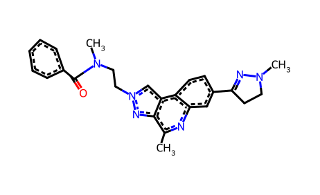 Cc1nc2cc(C3=NN(C)CC3)ccc2c2cn(CCN(C)C(=O)c3ccccc3)nc12